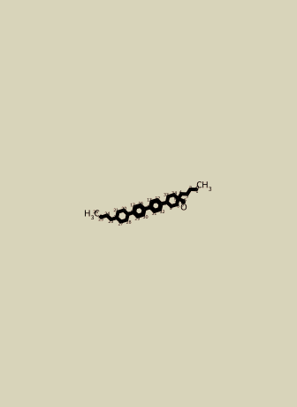 CCCCCC1(C=O)CCC(c2ccc(-c3ccc(C4CCC(CCCC)CC4)cc3)cc2)CC1